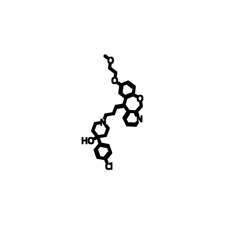 COCCOc1ccc2c(c1)/C(=C/CCN1CCC(O)(c3ccc(Cl)cc3)CC1)c1cccnc1CO2